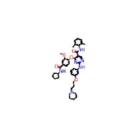 COc1cc(C(=O)NC2CCCC2)ccc1Oc1nc(Nc2cccc(OCCCN3CCCCC3)c2)ncc1C(=O)Nc1c(C)cccc1C